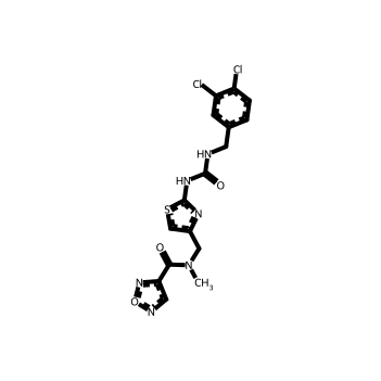 CN(Cc1csc(NC(=O)NCc2ccc(Cl)c(Cl)c2)n1)C(=O)c1cnon1